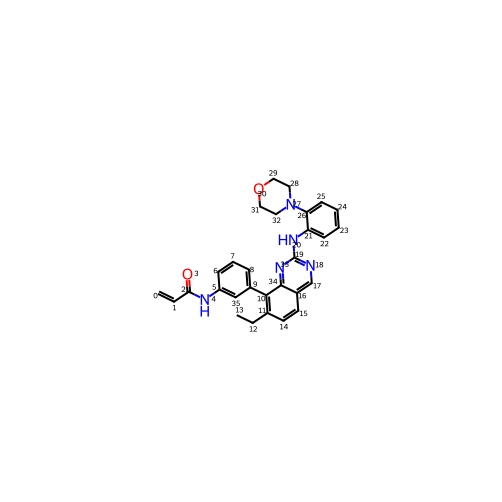 C=CC(=O)Nc1cccc(-c2c(CC)ccc3cnc(Nc4ccccc4N4CCOCC4)nc23)c1